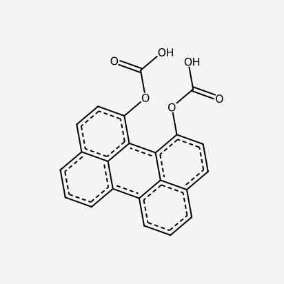 O=C(O)Oc1ccc2cccc3c4cccc5ccc(OC(=O)O)c(c1c23)c54